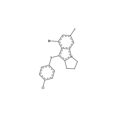 Clc1ccc(Sc2c3n(c4cc(I)cc(Br)c24)CC[CH]3)cc1